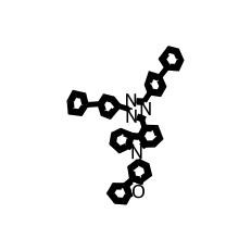 c1ccc(-c2ccc(-c3nc(-c4ccc(-c5ccccc5)cc4)nc(-c4cccc5c4c4ccccc4n5-c4ccc5oc6ccccc6c5c4)n3)cc2)cc1